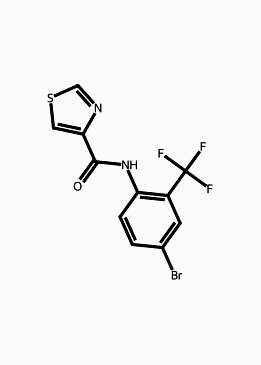 O=C(Nc1ccc(Br)cc1C(F)(F)F)c1cscn1